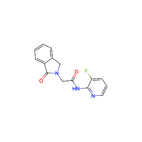 O=C(CN1Cc2ccccc2C1=O)Nc1ncccc1F